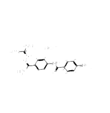 C/C(=N/N=C(N)N)c1ccc(NC(=O)c2ccc([N+](=O)[O-])cc2)cc1.Cl